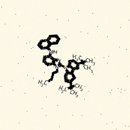 CCCCn1c(-n2c3ccc(C(C)(C)C)cc3c3cc(C(C)(C)C)ccc32)nc2c(Nc3cccc4ccccc34)cccc21